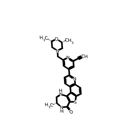 C#Cc1cc(-c2ccc3c(ccc4sc5c(c43)NC[C@@H](C)NC5=O)n2)cc(CN2C[C@@H](C)O[C@@H](C)C2)n1